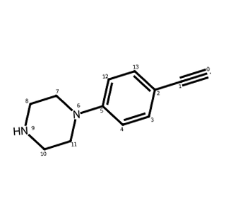 [C]#Cc1ccc(N2CCNCC2)cc1